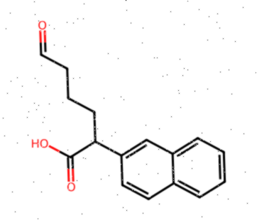 O=CCCCC(C(=O)O)c1ccc2ccccc2c1